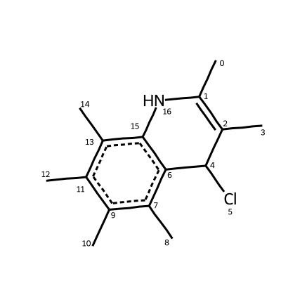 CC1=C(C)C(Cl)c2c(C)c(C)c(C)c(C)c2N1